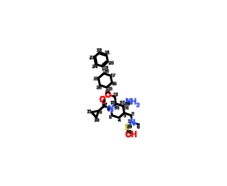 CN(CC1CCN(C(=O)C2CC2)[C@@H](CO[C@H]2CC[C@@H](c3ccccc3)CC2)[C@H]1N)SO